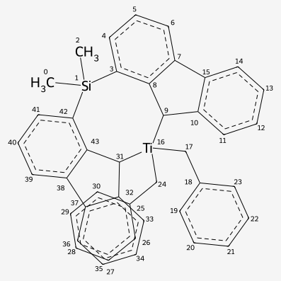 C[Si]1(C)c2cccc3c2[CH](c2ccccc2-3)[Ti]([CH2]c2ccccc2)([CH2]c2ccccc2)[CH]2c3ccccc3-c3cccc1c32